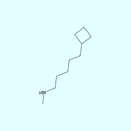 CNCCCCCC1CCC1